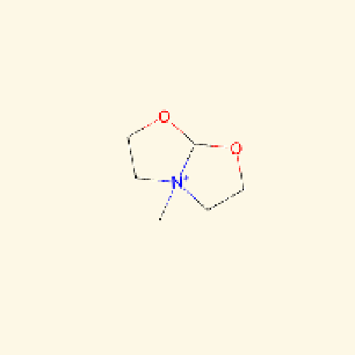 C[N+]12CCOC1OCC2